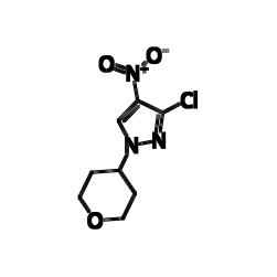 O=[N+]([O-])c1cn(C2CCOCC2)nc1Cl